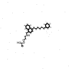 O=[PH](O)OOCCNCc1ccc(CCCCCCc2ccccc2)c2ccccc12